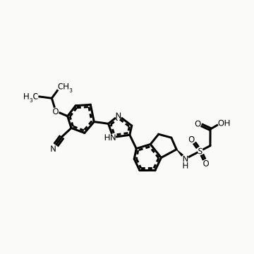 CC(C)Oc1ccc(-c2ncc(-c3cccc4c3CC[C@H]4NS(=O)(=O)CC(=O)O)[nH]2)cc1C#N